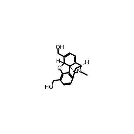 CN1CC[C@@]23C4=CC=C(CO)[C@H]2Oc2c(CO)ccc(c23)C[C@@H]41